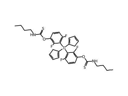 CCCCNC(=S)Oc1ccc(F)[c]([Ti]([C]2=CC=CC2)([C]2=CC=CC2)[c]2c(F)ccc(OC(=S)NCCCC)c2F)c1F